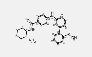 N[C@@H]1CCCC[C@H]1NC(=O)c1ccc(Nc2cc(-c3ccccc3CO)ncn2)cc1